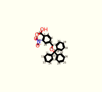 O=C(O)c1ccc(COC(c2ccccc2)(c2ccccc2)c2ccccc2)cc1[N+](=O)[O-]